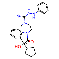 N=C(NNc1ccccc1)N1CCN(C(=O)[C@](O)(c2ccccc2)C2CCCC2)CC1